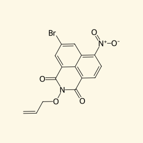 C=CCON1C(=O)c2ccc([N+](=O)[O-])c3cc(Br)cc(c23)C1=O